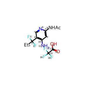 CCC(F)(F)c1cnc(NC(C)=O)cc1N.O=C(O)C(F)(F)F